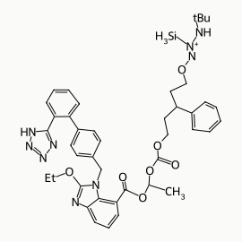 CCOc1nc2cccc(C(=O)OC(C)OC(=O)OCCC(CCO/N=[N+](\[SiH3])NC(C)(C)C)c3ccccc3)c2n1Cc1ccc(-c2ccccc2-c2nnn[nH]2)cc1